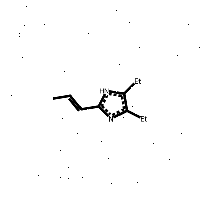 CC=Cc1nc(CC)c(CC)[nH]1